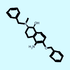 CN(Cc1ccccc1)[C@@H]1CCc2c(ccc(OCc3ccccc3)c2N)[C@@H]1O